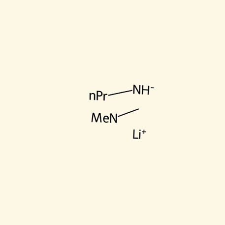 CCC[NH-].CNC.[Li+]